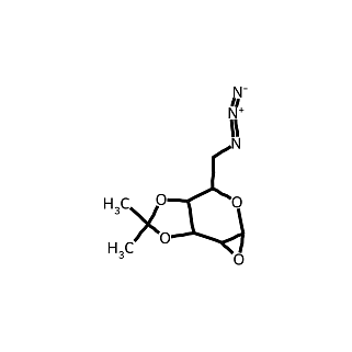 CC1(C)OC2C(CN=[N+]=[N-])OC3OC3C2O1